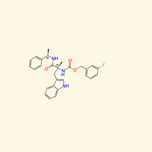 C[C@@H](NC(=O)[C@@](C)(Cc1c[nH]c2ccccc12)NC(=O)OCc1cccc(F)c1)c1ccccc1